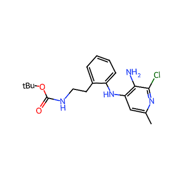 Cc1cc(Nc2ccccc2CCNC(=O)OC(C)(C)C)c(N)c(Cl)n1